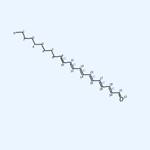 CCCCCCCCC/C=C/C=C/C=C/C=C/C=C/C=C/C=O